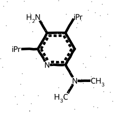 CC(C)c1cc(N(C)C)nc(C(C)C)c1N